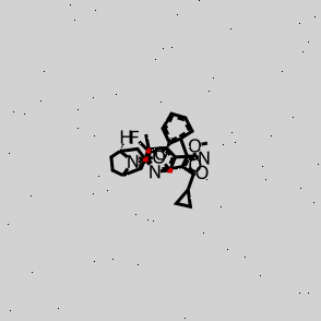 COC(=O)c1cnc(N2C3CC[C@H]2CC(OCc2c(-c4ccccc4OC(F)F)noc2C2CC2)C3)c(C)c1